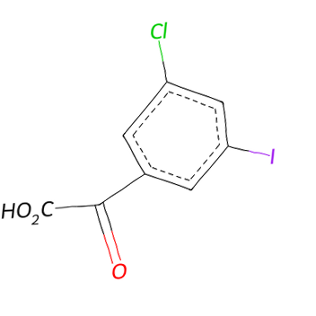 O=C(O)C(=O)c1cc(Cl)cc(I)c1